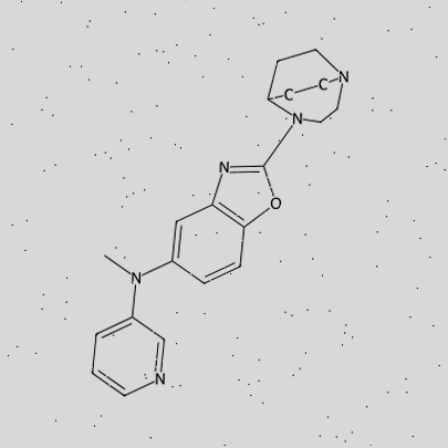 CN(c1cccnc1)c1ccc2oc(N3CCN4CCC3CC4)nc2c1